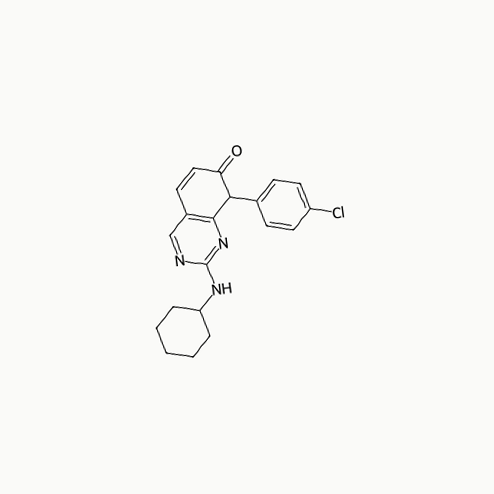 O=C1C=Cc2cnc(NC3CCCCC3)nc2C1c1ccc(Cl)cc1